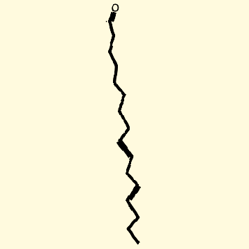 CCCC=CCC=CCCCCCCC[C]=O